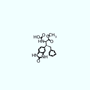 COC(=O)C(NC(=O)O)[C@@H](Cc1ccccc1)c1ccc2[nH]c(=O)[nH]c2c1